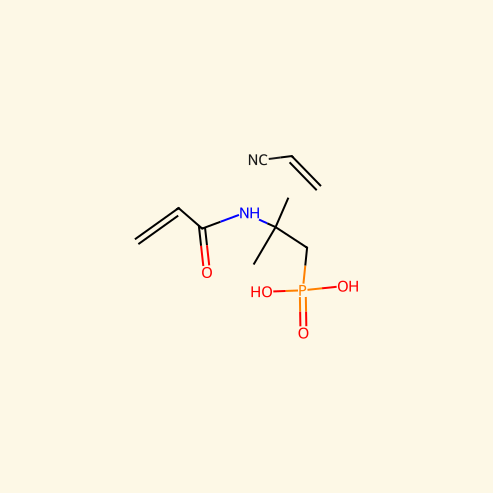 C=CC#N.C=CC(=O)NC(C)(C)CP(=O)(O)O